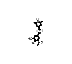 Cc1cc(-c2noc(-c3cc(O)c(O)c([N+](=O)[O-])c3)n2)cc(C)[n+]1[O-]